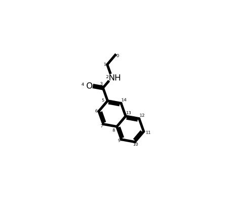 CCNC(=O)c1ccc2ccccc2c1